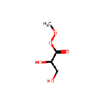 COOC(=O)C(O)CO